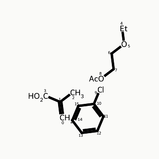 C=C(C)C(=O)O.CCOCCOC(C)=O.Clc1ccccc1